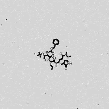 CCC[C@H](NC(=O)[C@@H](NC(=O)OCc1ccccc1)C(C)OC(C)(C)C)C(=O)N[C@H](/C=C/C(=O)N(C)OC)CC1CCNC1=O